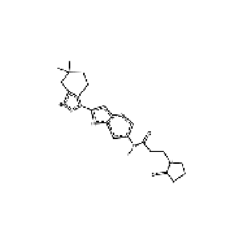 CN(C(=O)CCN1CCCC1=O)c1ccc2cc(-c3n[nH]c4c3CCC(C)(C)C4)[nH]c2c1